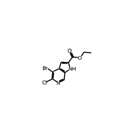 CCOC(=O)c1cc2c(Br)c(Cl)ncc2[nH]1